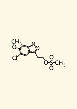 COc1cc2noc(CCOS(C)(=O)=O)c2cc1Cl